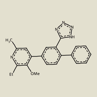 CCc1nc(C)cc(-c2ccc(-c3ccccc3)c(-c3nnn[nH]3)c2)c1OC